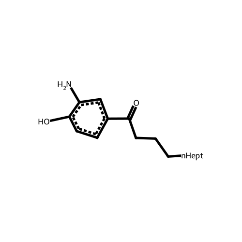 CCCCCCCCCCC(=O)c1ccc(O)c(N)c1